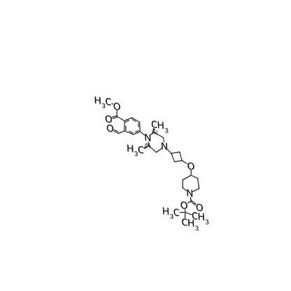 COC(=O)c1ccc(N2[C@H](C)CN(C3CC(OC4CCN(C(=O)OC(C)(C)C)CC4)C3)C[C@@H]2C)cc1C=O